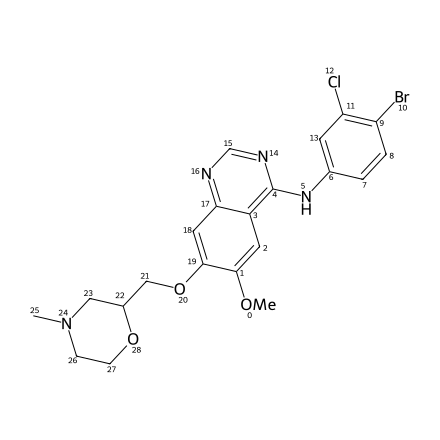 COc1cc2c(Nc3ccc(Br)c(Cl)c3)ncnc2cc1OCC1CN(C)CCO1